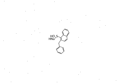 O=S(=O)(O)c1c(Cc2ccccc2)ccc2ccccc12.[NaH]